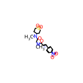 CN(CC(=O)N(C)C1CCS(=O)(=O)CC1)C(=O)/C=C/c1ccc([N+](=O)[O-])cc1